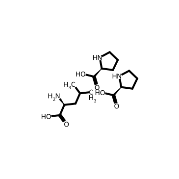 CC(C)C[C@H](N)C(=O)O.O=C(O)[C@@H]1CCCN1.O=C(O)[C@@H]1CCCN1